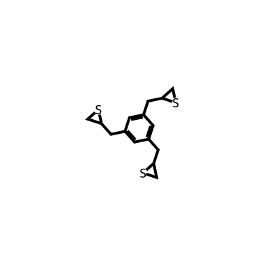 c1c(CC2CS2)cc(CC2CS2)cc1CC1CS1